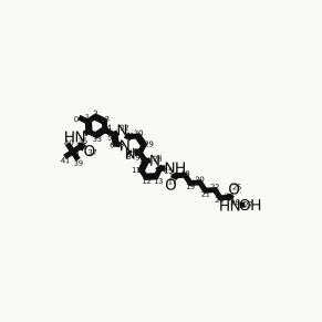 Cc1ccc(-c2cn3nc(-c4cccc(NC(=O)CCCCCCC(=O)NO)n4)ccc3n2)cc1NC(=O)C(C)(C)C